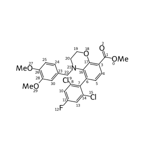 COC(=O)c1ccc(-c2c(Cl)cc(F)cc2Cl)c2c1OCCN2Cc1ccc(OC)c(OC)c1